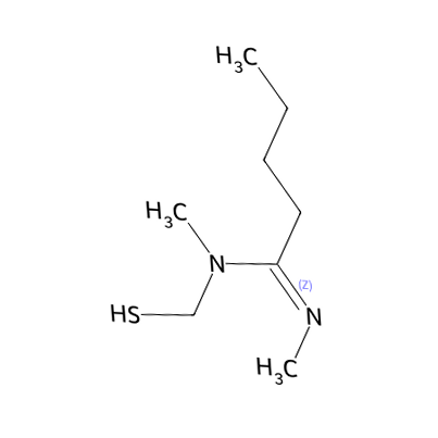 CCCC/C(=N/C)N(C)CS